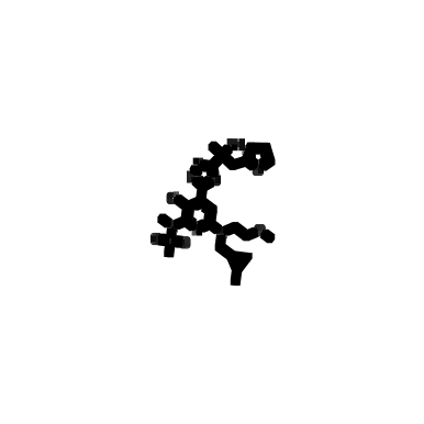 COCCN(CC1CC1C)c1cc(-c2nnc(C(C)(N)Cc3ccco3)o2)c(Cl)c(N(C)S(C)(=O)=O)n1